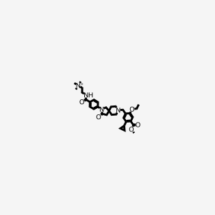 CCOc1cc(C(=O)OC)c(C2CC2)cc1CN1CCC2(CC1)CC(=O)N(c1ccc(C(=O)NCC[N+](C)(C)C)cc1)C2